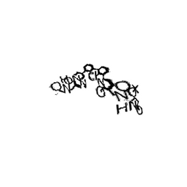 COc1nc(-c2cccc(-c3cccc(-c4ccn5c(=O)c(CNC[C@H](C)OC)cnc5c4)c3Cl)c2Cl)ccc1CN(C[C@@H]1CCC(=O)N1)C(=O)OC(C)(C)C